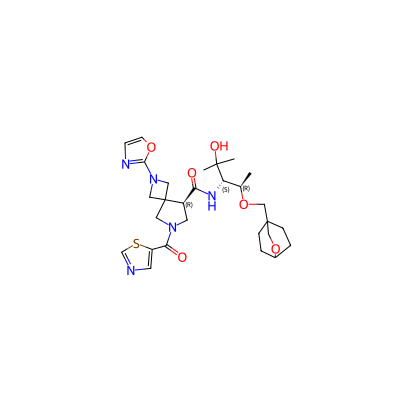 C[C@@H](OCC12CCC(CC1)OC2)[C@H](NC(=O)[C@H]1CN(C(=O)c2cncs2)CC12CN(c1ncco1)C2)C(C)(C)O